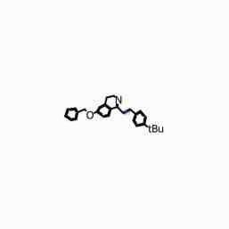 CC(C)(C)c1ccc(/C=C/C2=NCCc3cc(OCc4ccccc4)ccc32)cc1